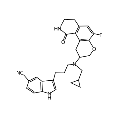 N#Cc1ccc2[nH]cc(CCCN(CC3CC3)C3COc4c(F)cc5c(c4C3)C(=O)NCC5)c2c1